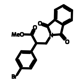 COC(=O)C(CN1C(=O)c2ccccc2C1=O)c1ccc(Br)cc1